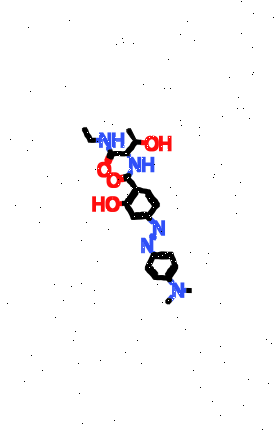 CCNC(=O)[C@@H](NC(=O)c1ccc(/N=N/c2ccc(N(C)C)cc2)cc1O)[C@@H](C)O